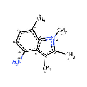 Cc1c(C)n(C)c2c(C)ccc(N)c12